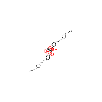 CCCCC[C@H]1CC[C@H](CCCCc2ccc(C(=O)O[C@@](C)(C(=O)O)[C@@](C)(OC(=O)c3ccc(CCCC[C@H]4CC[C@H](CCCCC)CC4)cc3)C(=O)O)cc2)CC1